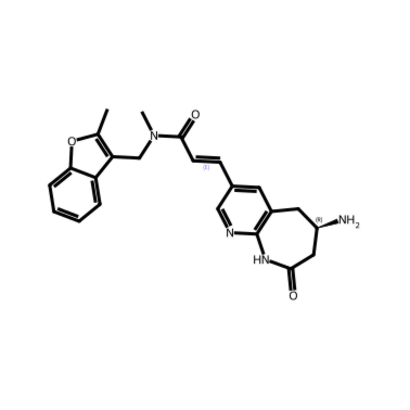 Cc1oc2ccccc2c1CN(C)C(=O)/C=C/c1cnc2c(c1)C[C@@H](N)CC(=O)N2